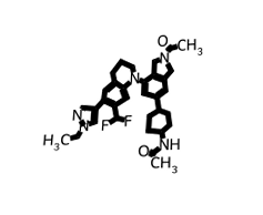 CCn1cc(-c2cc3c(cc2C(F)F)N(c2cc(C4CCC(NC(C)=O)CC4)cc4c2CN(C(C)=O)C4)CCC3)cn1